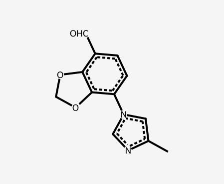 Cc1cn(-c2ccc(C=O)c3c2OCO3)cn1